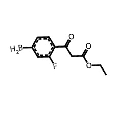 Bc1ccc(C(=O)CC(=O)OCC)c(F)c1